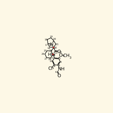 COc1cc(NC=O)c(Cl)cc1NC(=O)C1CC2CCC(C1)N2CC1CCCCC1